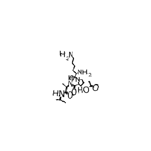 CC(=O)O.CC(C)NC(=O)[C@@H](C)NC(=O)[C@@H]1CCCN1C(=O)[C@@H](N)CCCCN